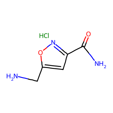 Cl.NCc1cc(C(N)=O)no1